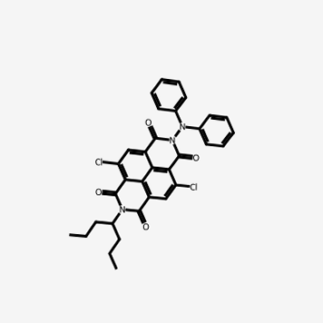 CCCC(CCC)N1C(=O)c2cc(Cl)c3c4c(cc(Cl)c(c24)C1=O)C(=O)N(N(c1ccccc1)c1ccccc1)C3=O